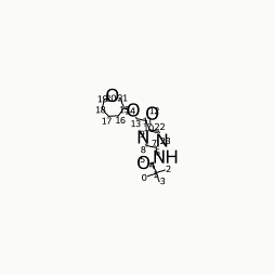 CC(C)(C)C(=O)Nc1cnc(C(=O)COC2CCCCOC2)cn1